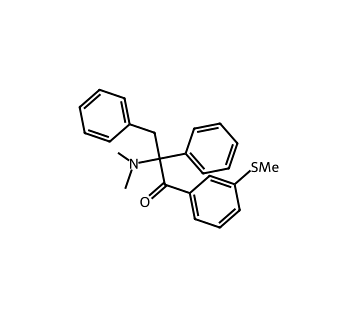 CSc1cccc(C(=O)C(Cc2ccccc2)(c2ccccc2)N(C)C)c1